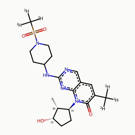 [2H]C([2H])([2H])c1cc2cnc(NC3CCN(S(=O)(=O)C([2H])([2H])[2H])CC3)nc2n([C@H]2CC[C@H](O)[C@@H]2C)c1=O